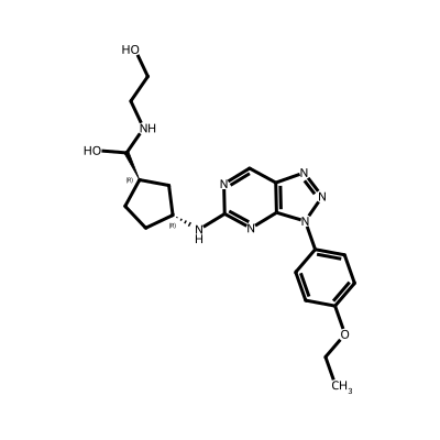 CCOc1ccc(-n2nnc3cnc(N[C@@H]4CC[C@@H](C(O)NCCO)C4)nc32)cc1